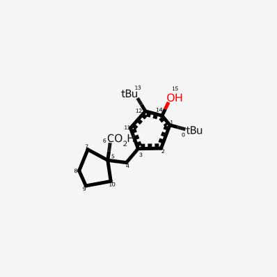 CC(C)(C)c1cc(CC2(C(=O)O)CCCC2)cc(C(C)(C)C)c1O